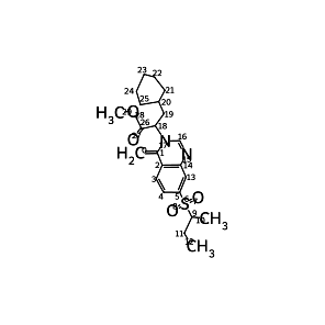 C=C1c2ccc(S(=O)(=O)C(C)CC)cc2N=CN1C(CC1CCCCC1)C(=O)OC